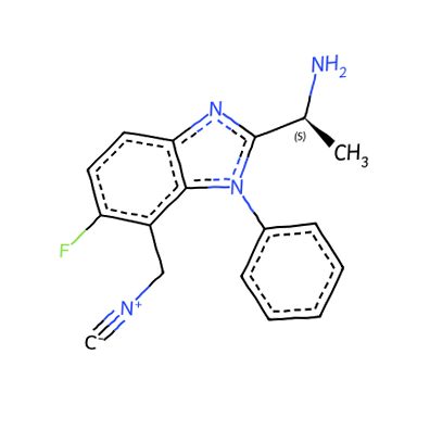 [C-]#[N+]Cc1c(F)ccc2nc([C@H](C)N)n(-c3ccccc3)c12